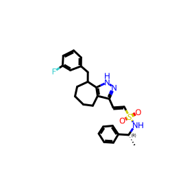 C[C@@H](NS(=O)(=O)C=Cc1n[nH]c2c1CCCCC2Cc1cccc(F)c1)c1ccccc1